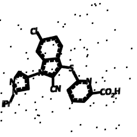 CC(C)n1cc(-n2c(C#N)c(Sc3cccc(C(=O)O)n3)c3ccc(Cl)cc32)cn1